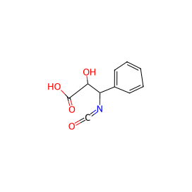 O=C=NC(c1ccccc1)C(O)C(=O)O